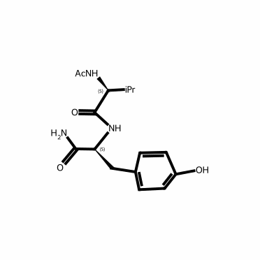 CC(=O)N[C@H](C(=O)N[C@@H](Cc1ccc(O)cc1)C(N)=O)C(C)C